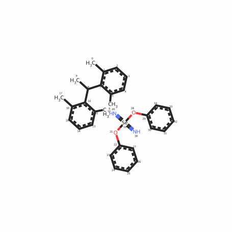 Cc1cccc(C)c1C(C)c1c(C)cccc1C.N=[Se](=N)(Oc1ccccc1)Oc1ccccc1